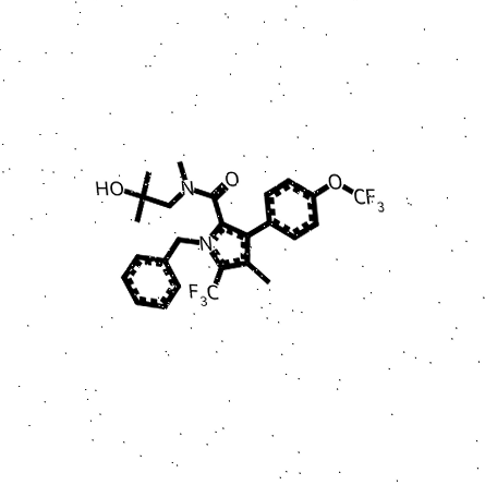 Cc1c(-c2ccc(OC(F)(F)F)cc2)c(C(=O)N(C)CC(C)(C)O)n(Cc2ccccc2)c1C(F)(F)F